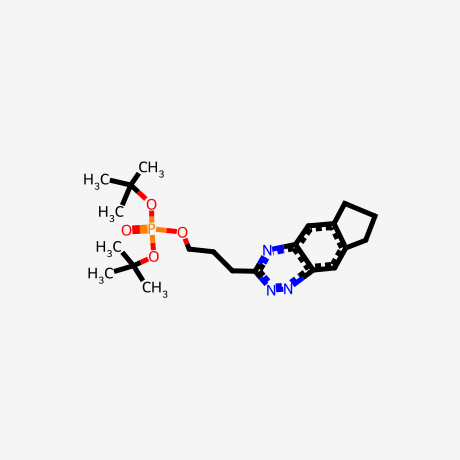 CC(C)(C)OP(=O)(OCCCc1nnc2cc3c(cc2n1)CCC3)OC(C)(C)C